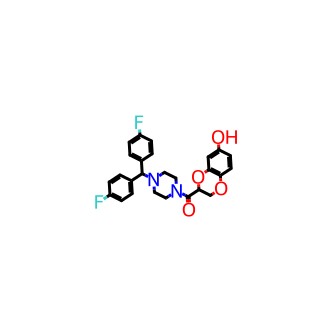 O=C(C1COc2ccc(O)cc2O1)N1CCN(C(c2ccc(F)cc2)c2ccc(F)cc2)CC1